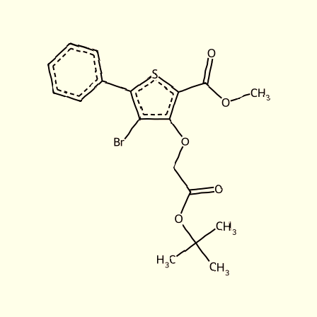 COC(=O)c1sc(-c2ccccc2)c(Br)c1OCC(=O)OC(C)(C)C